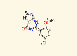 CCCOc1ccc(Cl)cc1C1=NC(=O)C2=NC=NC2=N1